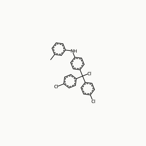 Cc1cccc(Nc2ccc(C(Cl)(c3ccc(Cl)cc3)c3ccc(Cl)cc3)cc2)c1